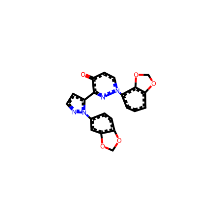 O=c1ccn(-c2cccc3c2OCO3)nc1-c1ccnn1-c1ccc2c(c1)OCO2